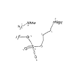 CCCCCCCCCCS(=O)(=O)OF.CNC